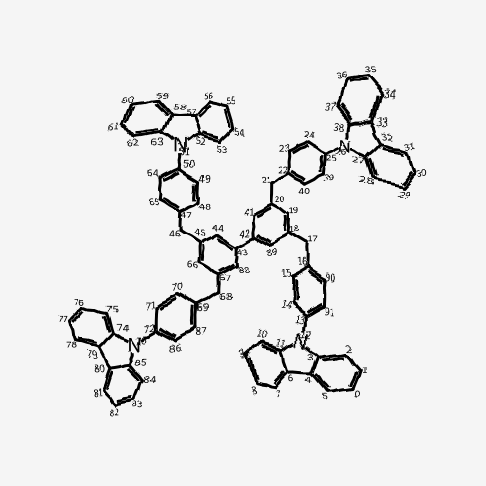 c1ccc2c(c1)c1ccccc1n2-c1ccc(Cc2cc(Cc3ccc(-n4c5ccccc5c5ccccc54)cc3)cc(-c3cc(Cc4ccc(-n5c6ccccc6c6ccccc65)cc4)cc(Cc4ccc(-n5c6ccccc6c6ccccc65)cc4)c3)c2)cc1